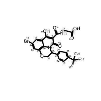 O=C(O)CNC(=O)c1c(O)c2cc(Br)cc3c2n(c1=O)C(c1ccc(C(F)(F)F)cc1)CO3